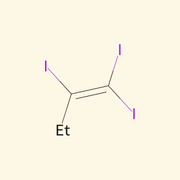 CCC(I)=C(I)I